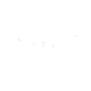 Cc1cc(S(=O)(=O)NC(=O)NCC(F)=C2CCCc3onc(Cc4ccc(Cl)cc4Cl)c32)sc1Cl